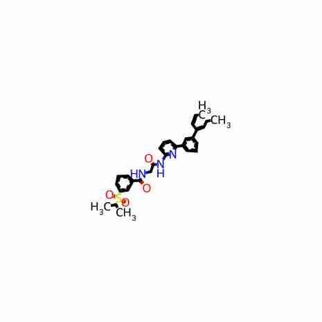 C/C=C\C(=C/CC)c1cccc(-c2cccc(NC(=O)CNC(=O)c3cccc(S(=O)(=O)C(C)C)c3)n2)c1